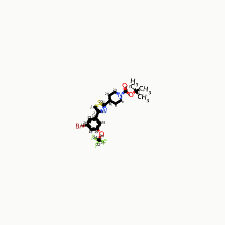 CC(C)(C)OC(=O)N1CCC(c2nc(-c3cc(Br)cc(OC(F)(F)F)c3)cs2)CC1